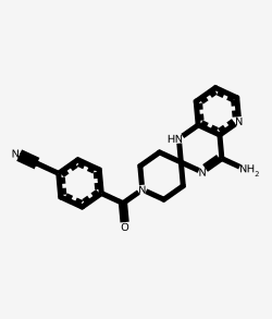 N#Cc1ccc(C(=O)N2CCC3(CC2)N=C(N)c2ncccc2N3)cc1